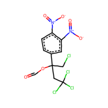 O=COC(CCl)(CC(Cl)(Cl)Cl)c1ccc([N+](=O)[O-])c([N+](=O)[O-])c1